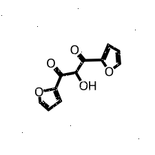 O=C(c1ccco1)C(O)C(=O)c1ccco1